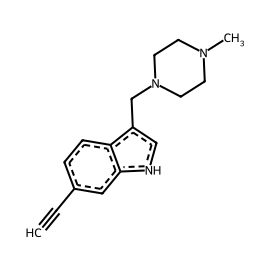 C#Cc1ccc2c(CN3CCN(C)CC3)c[nH]c2c1